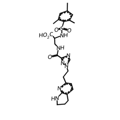 Cc1cc(C)c(S(=O)(=O)NC(CNC(=O)c2ncn(CCc3ccc4c(n3)NCCC4)n2)C(=O)O)c(C)c1